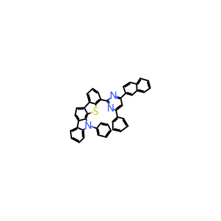 c1ccc(-c2cc(-c3ccc4ccccc4c3)nc(-c3cccc4c3sc3c4ccc4c5ccccc5n(-c5ccccc5)c43)n2)cc1